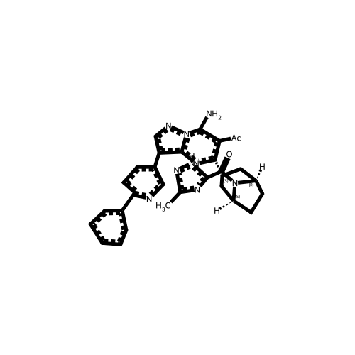 CC(=O)c1c([C@@H]2C[C@H]3CC[C@@H](C2)N3C(=O)c2nc(C)n[nH]2)nc2c(-c3ccc(-c4ccccc4)nc3)cnn2c1N